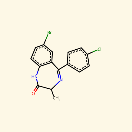 CC1N=C(c2ccc(Cl)cc2)c2cc(Br)ccc2NC1=O